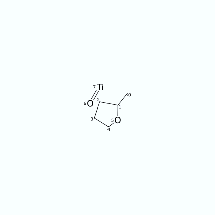 [CH2]C1CCCO1.[O]=[Ti]